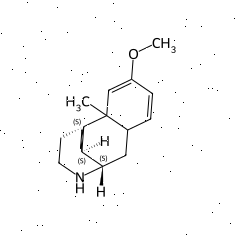 COC1=CC2(C)C(C=C1)C[C@@H]1NCC[C@]23CCCC[C@H]13